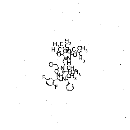 CC(C)(C)OC(=O)N[C@@H](CCN(C(=O)CCl)[C@@H](c1nc(-c2cc(F)ccc2F)cn1Cc1ccccc1)C(C)(C)C)C(=O)OC(C)(C)C